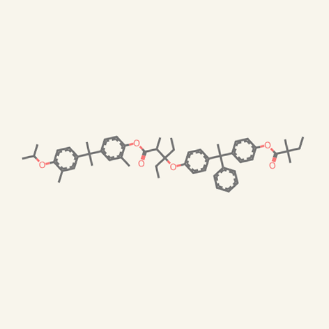 CCC(C)(C)C(=O)Oc1ccc(C(C)(c2ccccc2)c2ccc(OC(CC)(CC)C(C)C(=O)Oc3ccc(C(C)(C)c4ccc(OC(C)C)c(C)c4)cc3C)cc2)cc1